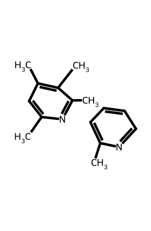 Cc1cc(C)c(C)c(C)n1.Cc1ccccn1